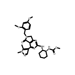 COC(=O)N[C@H]1CCCC[C@H]1Nc1nc2c(c(-c3cnn(C)c3C)n1)C(=O)N(Cc1ccc(OC)cc1OC)C2